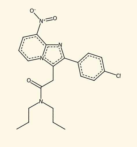 CCCN(CCC)C(=O)Cc1c(-c2ccc(Cl)cc2)nc2c([N+](=O)[O-])cccn12